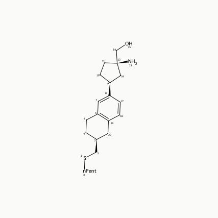 CCCCCSC[C@H]1CCc2cc([C@H]3CC[C@](N)(CO)C3)ccc2C1